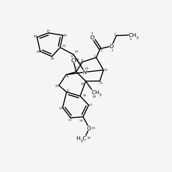 CCOC(=O)C1CC2(C)C3Cc4ccc(OC)cc4C2(C)CC1N3Cc1ccccc1